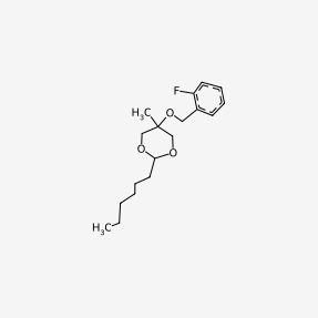 CCCCCCC1OCC(C)(OCc2ccccc2F)CO1